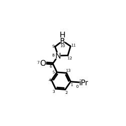 CC(C)c1cccc(C(=O)N2CBCC2)c1